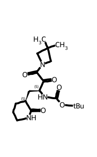 CC1(C)CN(C(=O)C(=O)[C@H](C[C@@H]2CCCNC2=O)NC(=O)OC(C)(C)C)C1